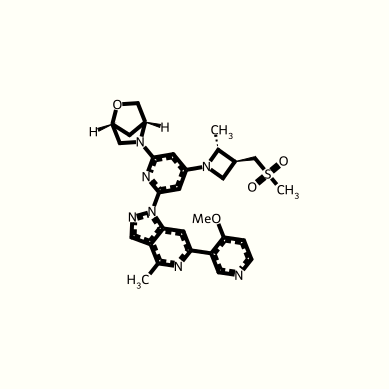 COc1ccncc1-c1cc2c(cnn2-c2cc(N3C[C@H](CS(C)(=O)=O)[C@H]3C)cc(N3C[C@H]4C[C@@H]3CO4)n2)c(C)n1